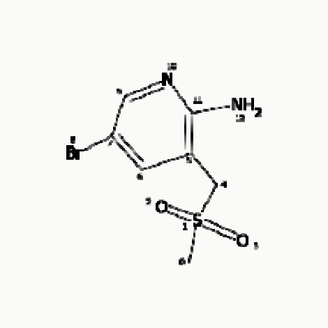 CS(=O)(=O)Cc1cc(Br)cnc1N